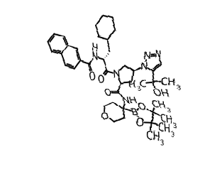 CC(C)(O)c1cnnn1[C@H]1C[C@@H](C(=O)NC2(B3OC(C)(C)C(C)(C)O3)CCOCC2)N(C(=O)[C@@H](CC2CCCCC2)NC(=O)c2ccc3ccccc3c2)C1